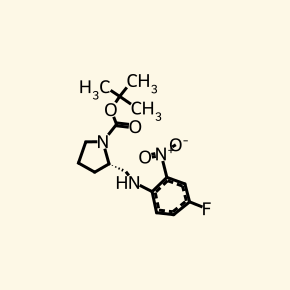 CC(C)(C)OC(=O)N1CCC[C@H]1CNc1ccc(F)cc1[N+](=O)[O-]